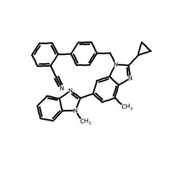 Cc1cc(-c2nc3ccccc3n2C)cc2c1nc(C1CC1)n2Cc1ccc(-c2ccccc2C#N)cc1